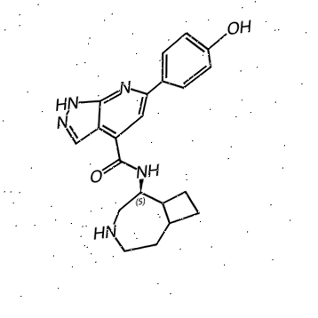 O=C(N[C@@H]1CNCCC2CCC21)c1cc(-c2ccc(O)cc2)nc2[nH]ncc12